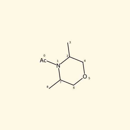 [CH2]C(=O)N1C(C)COCC1C